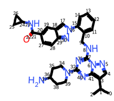 CC(C)c1cnn2c(NCc3ccccc3-n3cc4cc(C(=O)NC5CC5)ccc4n3)nc(N3CCC(N)CC3)nc12